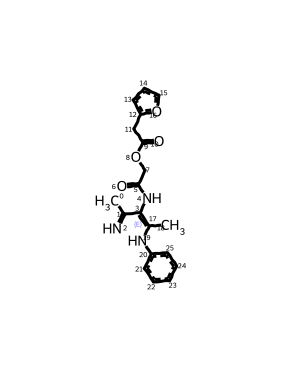 CC(=N)/C(NC(=O)COC(=O)Cc1ccco1)=C(/C)Nc1ccccc1